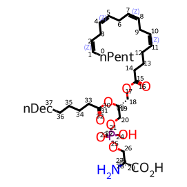 CCCCC/C=C\C/C=C\C/C=C\C/C=C\CCCC(=O)OC[C@H](COP(=O)(O)OC[C@H](N)C(=O)O)OC(=O)CCCCCCCCCCCCCC